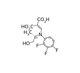 C[C@@H](CO)N(C=C(C(=O)O)C(=O)O)c1ccc(F)c(F)c1F